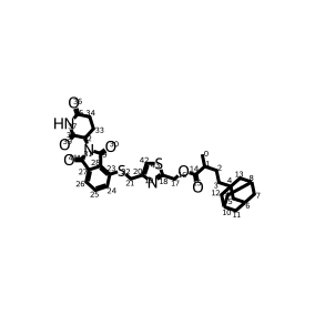 CC(CCC12CC3CC(CC(C3)C1)C2)C(=O)OCc1nc(CSc2cccc3c2C(=O)N(C2CCC(=O)NC2=O)C3=O)cs1